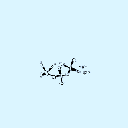 O=P([O-])([O-])OP(=O)([O-])OP(=O)([O-])[O-].[B+3].[Ba+2]